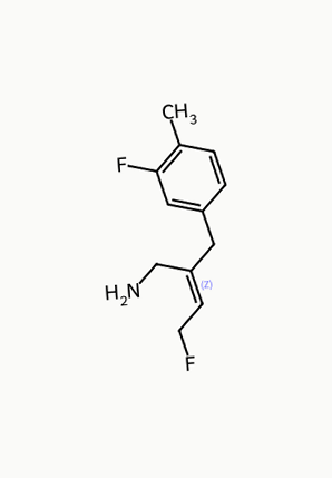 Cc1ccc(C/C(=C/CF)CN)cc1F